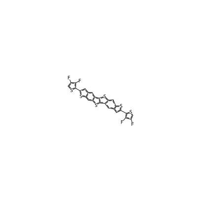 Fc1csc(-c2cc3cc4c(cc3s2)sc2c3cc5cc(-c6scc(F)c6F)sc5cc3sc42)c1F